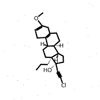 CCC[C@]12CC[C@@H]3C4=C(CC[C@H]3[C@@H]1CC[C@@]2(O)C#CCl)CC(OC)=CC4